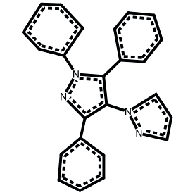 c1ccc(-c2nn(-c3ccccc3)c(-c3ccccc3)c2-n2cccn2)cc1